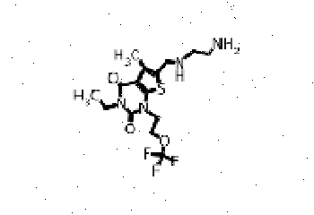 CCn1c(=O)c2c(C)c(CNCCN)sc2n(CCOC(F)(F)F)c1=O